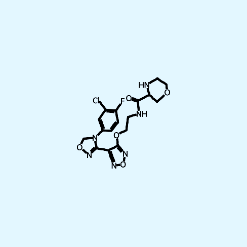 O=C(NCCOc1nonc1C1=NOCN1c1ccc(F)c(Cl)c1)C1COCCN1